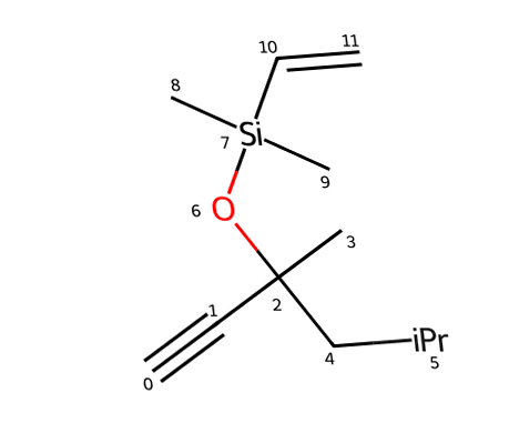 C#CC(C)(CC(C)C)O[Si](C)(C)C=C